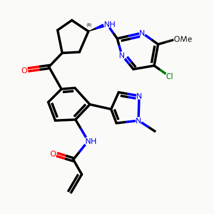 C=CC(=O)Nc1ccc(C(=O)C2CC[C@@H](Nc3ncc(Cl)c(OC)n3)C2)cc1-c1cnn(C)c1